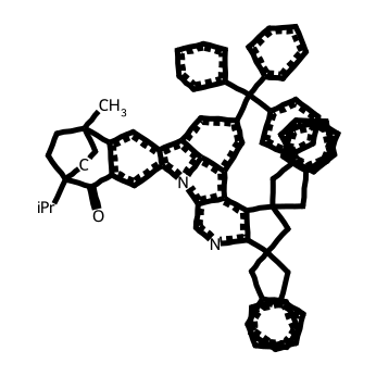 CC(C)C12CCC(C)(CC1)c1cc3c4cc(C(c5ccccc5)(c5ccccc5)c5ccccc5)cc5c6c7c(ncc6n(c3cc1C2=O)c45)C(Cc1ccccc1)(Cc1ccccc1)CC7(Cc1ccccc1)Cc1ccccc1